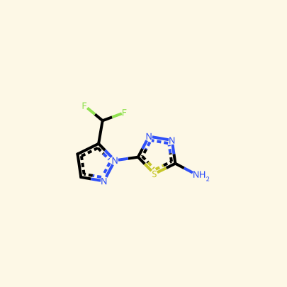 Nc1nnc(-n2nccc2C(F)F)s1